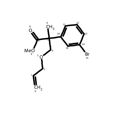 C=CCOCC(C)(C(=O)OC)c1cccc(Br)c1